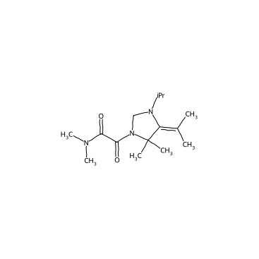 CC(C)=C1N(C(C)C)CN(C(=O)C(=O)N(C)C)C1(C)C